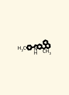 Cc1ccc(-c2cc3ccc(C(C)c4cccc5ccccc45)cc3[nH]2)cc1